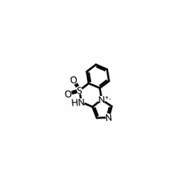 O=S1(=O)NC2=CN=C[N+]2c2ccccc21